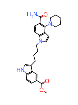 COC(=O)c1ccc2[nH]cc(CCCCn3ccc4c(N5CCCCC5)c(C(N)=O)ccc43)c2c1